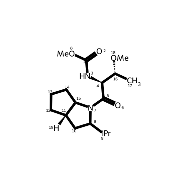 COC(=O)N[C@H](C(=O)N1C(C(C)C)C[C@@H]2CCCC21)[C@@H](C)OC